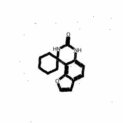 O=C1Nc2ccc3ccoc3c2C2(CCCCC2)N1